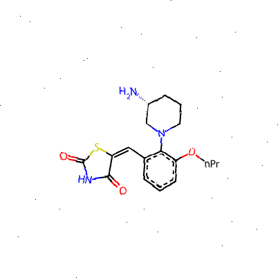 CCCOc1cccc(C=C2SC(=O)NC2=O)c1N1CCC[C@@H](N)C1